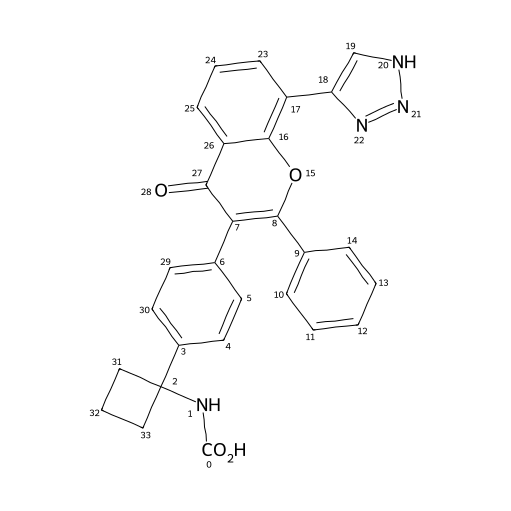 O=C(O)NC1(c2ccc(-c3c(-c4ccccc4)oc4c(-c5c[nH]nn5)cccc4c3=O)cc2)CCC1